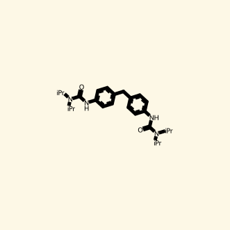 CC(C)N(C(=O)Nc1ccc(Cc2ccc(NC(=O)N(C(C)C)C(C)C)cc2)cc1)C(C)C